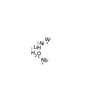 O.[LiH].[Nb].[Ni].[W]